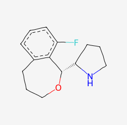 Fc1cccc2c1[C@H](C1CCCN1)OCCC2